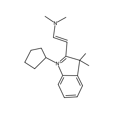 CN(C)/C=C/C1=[N+](C2CCCC2)c2ccccc2C1(C)C